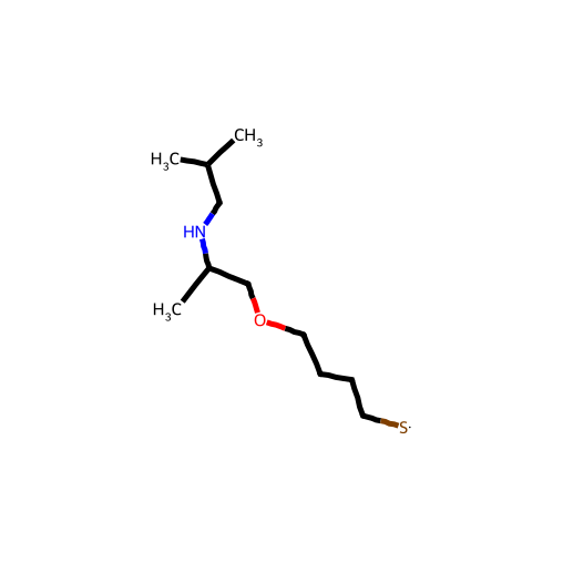 CC(C)CNC(C)COCCCC[S]